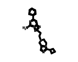 Nc1nc(-c2ccccc2)cc2nc(CCN3CCn4c(cnc4C4CCC4)C3)nn12